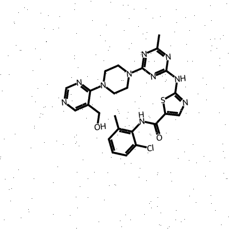 Cc1nc(Nc2ncc(C(=O)Nc3c(C)cccc3Cl)s2)nc(N2CCN(c3ncncc3CO)CC2)n1